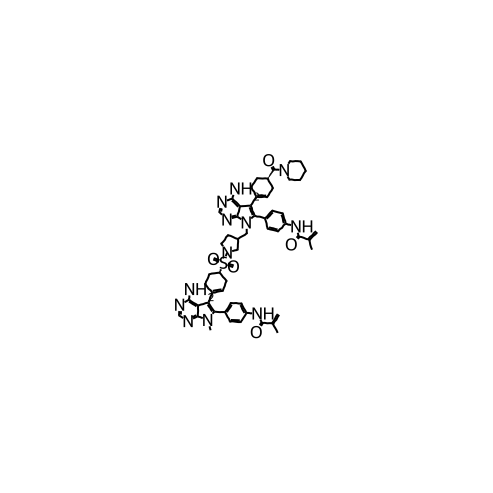 C=C(C)C(=O)Nc1ccc(-c2c(C3=CC[C@H](S(=O)(=O)N4CCC(Cn5c(-c6ccc(NC(=O)C(=C)C)cc6)c(C6=CC[C@H](C(=O)N7CCCCC7)CC6)c6c(N)ncnc65)C4)CC3)c3c(N)ncnc3n2C)cc1